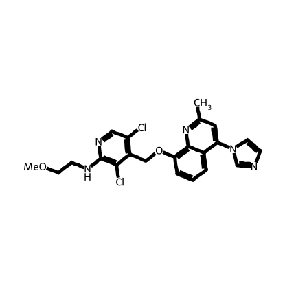 COCCNc1ncc(Cl)c(COc2cccc3c(-n4ccnc4)cc(C)nc23)c1Cl